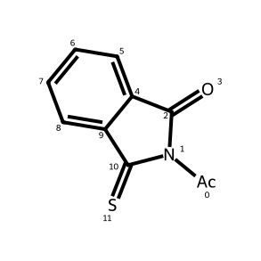 CC(=O)N1C(=O)c2ccccc2C1=S